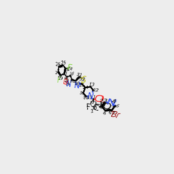 O=CC(Oc1ncc(Br)cc1C(F)(F)F)N1CCC(c2nc(C3=NO[C@@H](c4c(F)cccc4F)C3)cs2)CC1